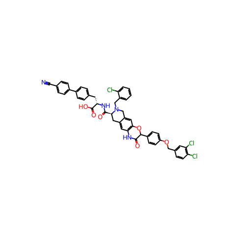 N#Cc1ccc(-c2ccc(C[C@H](NC(=O)[C@@H]3Cc4cc5c(cc4CN3Cc3ccccc3Cl)OC(c3ccc(OCc4ccc(Cl)c(Cl)c4)cc3)C(=O)N5)C(=O)O)cc2)cc1